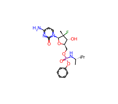 CC(C)[C@H](C)NP(=O)(OC[C@H]1O[C@@H](n2ccc(N)nc2=O)[C@](C)(F)[C@@H]1O)Oc1ccccc1